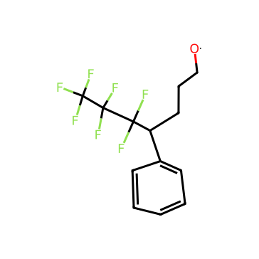 [O]CCCC(c1ccccc1)C(F)(F)C(F)(F)C(F)(F)F